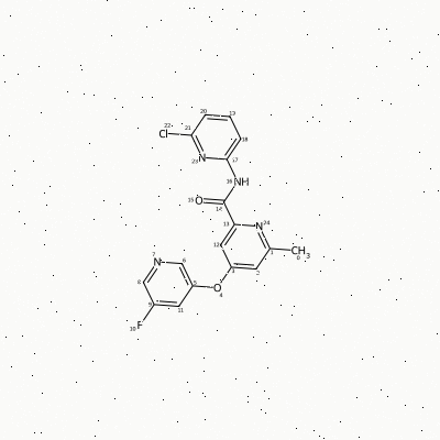 Cc1cc(Oc2cncc(F)c2)cc(C(=O)Nc2cccc(Cl)n2)n1